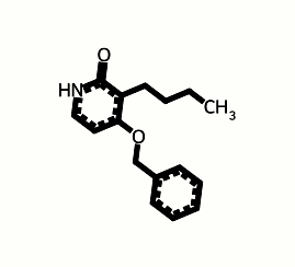 CCCCc1c(OCc2ccccc2)cc[nH]c1=O